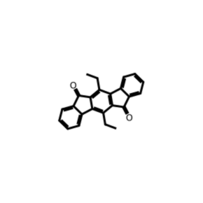 CCc1c2c(=O)c3ccccc3c2c(CC)c2c(=O)c3ccccc3c12